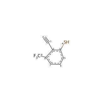 C#Cc1c(S)cccc1C(F)(F)F